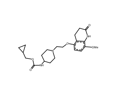 COc1ccc(OCCN2CCC(NC(=O)OCC3CC3)CC2)c2c1NC(=O)CC2